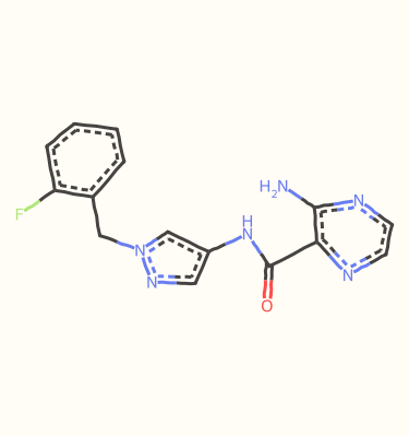 Nc1nccnc1C(=O)Nc1cnn(Cc2ccccc2F)c1